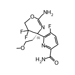 COCC[C@@]1(c2nc(C(N)=O)ccc2F)N=C(N)OCC1(F)F